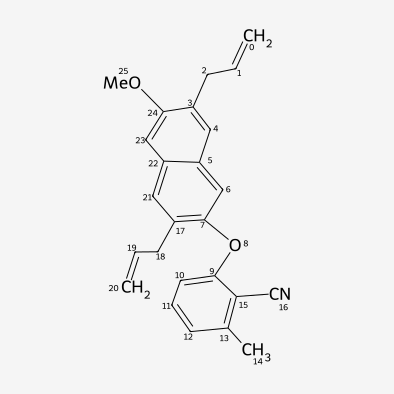 C=CCc1cc2cc(Oc3cccc(C)c3C#N)c(CC=C)cc2cc1OC